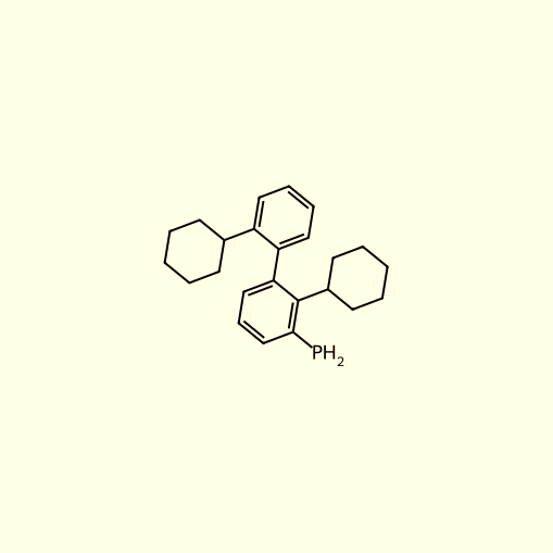 Pc1cccc(-c2ccccc2C2CCCCC2)c1C1CCCCC1